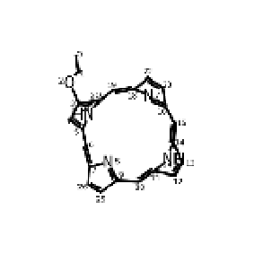 CCOc1cc2cc3nc(cc4ccc(cc5nc(cc1[nH]2)C=C5)[nH]4)C=C3